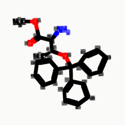 COC(=O)[C@@H](N)[C@@H](C)OC(c1ccccc1)(c1ccccc1)c1ccccc1